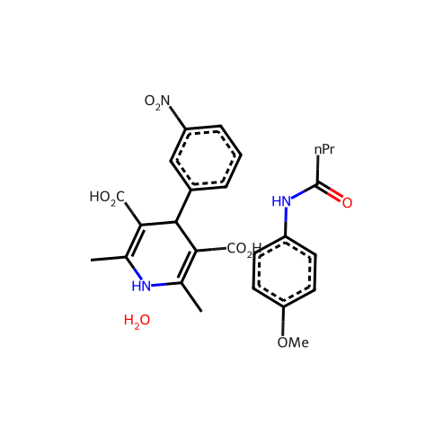 CC1=C(C(=O)O)C(c2cccc([N+](=O)[O-])c2)C(C(=O)O)=C(C)N1.O.[CH2]CCC(=O)Nc1ccc(OC)cc1